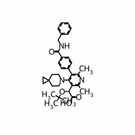 Cc1nc(C)c([C@H](OC(C)(C)C)C(=O)O)c(N2CCC3(CC2)CC3)c1-c1ccc(C(=O)NCc2ccccc2)cc1